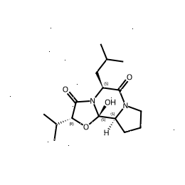 CC(C)C[C@H]1C(=O)N2CCC[C@H]2[C@]2(O)O[C@H](C(C)C)C(=O)N12